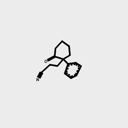 N#CCCC1(c2ccccc2)CCCCC1=O